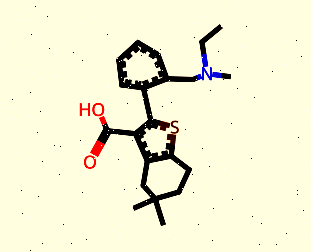 CCN(C)Cc1ccccc1-c1sc2c(c1C(=O)O)CC(C)(C)CC2